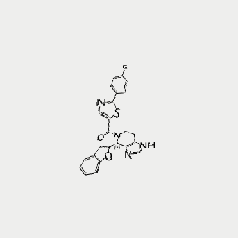 O=C(c1cnc(-c2ccc(F)cc2)s1)N1CCc2[nH]cnc2[C@H]1c1cc2ccccc2o1